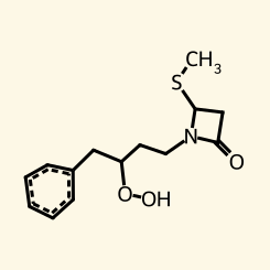 CSC1CC(=O)N1CCC(Cc1ccccc1)OO